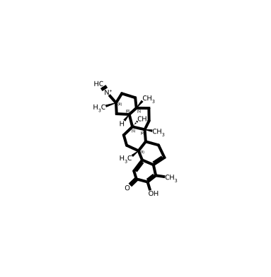 C#[N+][C@]1(C)CC[C@]2(C)CC[C@]3(C)C4CC=C5C(=CC(=O)C(O)=C5C)[C@]4(C)CC[C@@]3(C)[C@@H]2C1